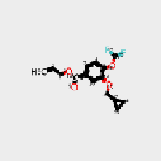 C=CCO[14C](=O)c1ccc(OC(F)F)c(OCC2CC2)c1